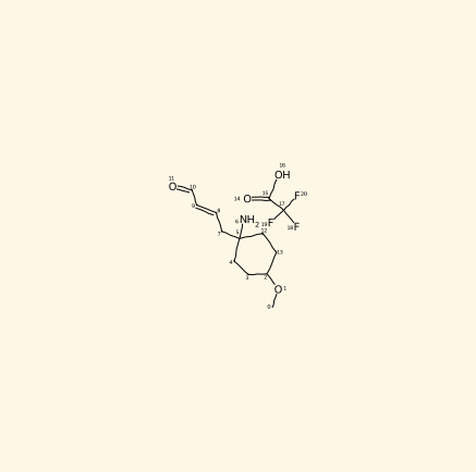 COC1CCC(N)(CC=CC=O)CC1.O=C(O)C(F)(F)F